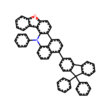 c1ccc(N2c3cccc4c(-c5ccc6c(c5)-c5ccccc5C6(c5ccccc5)c5ccccc5)ccc(c34)-c3ccc4oc5ccccc5c4c32)cc1